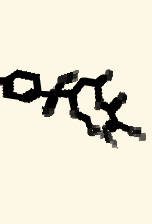 C=C(C)C(=O)OC(=O)CC(OCC)P(=O)(O)c1ccccc1